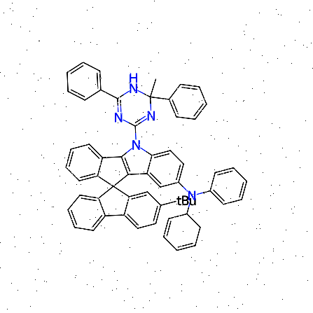 CC(C)(C)c1ccc2c(c1)C1(c3ccccc3-2)c2ccccc2-c2c1c1cc(N(c3ccccc3)C3C=CC=CC3)ccc1n2C1=NC(C)(c2ccccc2)NC(c2ccccc2)=N1